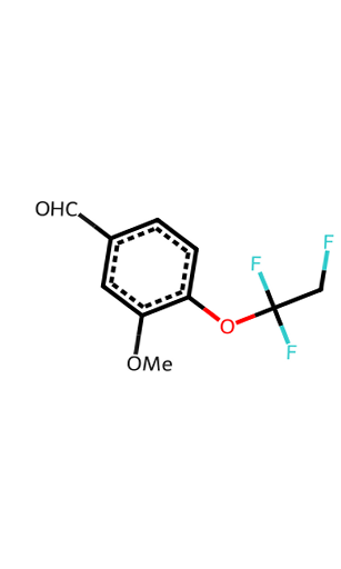 COc1cc(C=O)ccc1OC(F)(F)CF